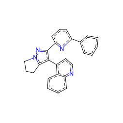 c1ccc(-c2cccc(-c3nn4c(c3-c3ccnc5ccccc35)CCC4)n2)cc1